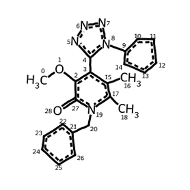 COc1c(-c2nnnn2-c2ccccc2)c(C)c(C)n(Cc2ccccc2)c1=O